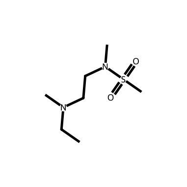 CCN(C)CCN(C)S(C)(=O)=O